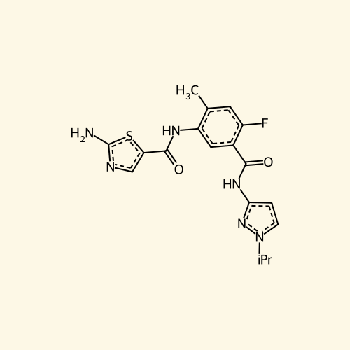 Cc1cc(F)c(C(=O)Nc2ccn(C(C)C)n2)cc1NC(=O)c1cnc(N)s1